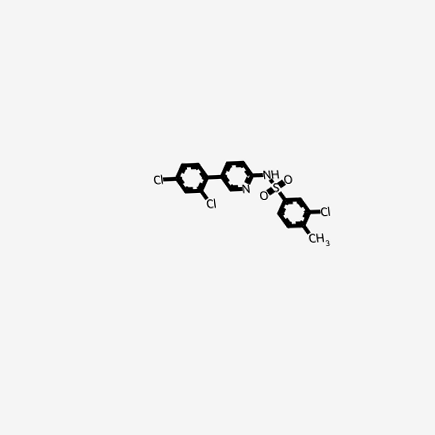 Cc1ccc(S(=O)(=O)Nc2ccc(-c3ccc(Cl)cc3Cl)cn2)cc1Cl